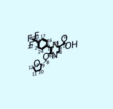 O=C(O)c1cnc(OC[C@@H]2CCCO2)c(-c2ccc(C(F)(F)F)cc2)n1